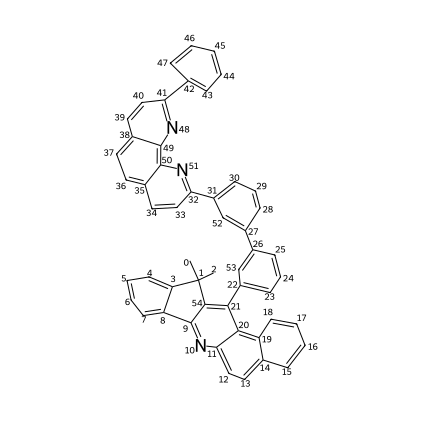 CC1(C)c2ccccc2-c2nc3ccc4ccccc4c3c(-c3cccc(-c4cccc(-c5ccc6ccc7ccc(-c8ccccc8)nc7c6n5)c4)c3)c21